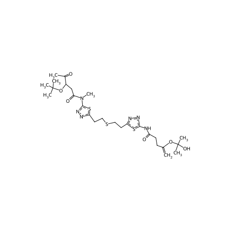 C=C(CCC(=O)Nc1nnc(CCSCCc2nnc(N(C)C(=O)CC(OC(C)(C)C)C(C)=O)s2)s1)OC(C)(C)O